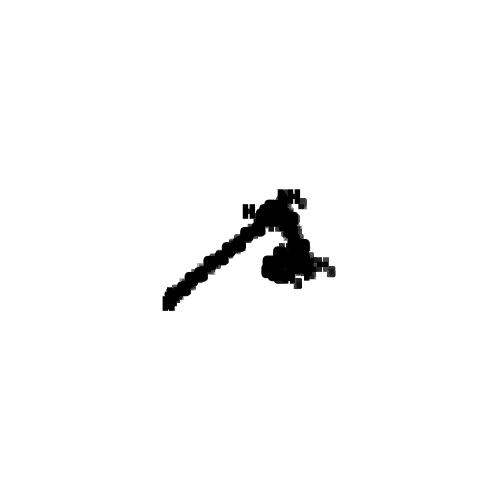 CC[C@@]1(O)C(=O)OCc2c1cc1n(c2=O)Cc2c-1nc1cc(F)c(C)c3c1c2[C@@H](NC(=O)OCc1ccc(NC(=O)[C@H](CCCCN)NC(=O)[C@@H](NC(=O)CCOCCOCCOCCOCCOCCOCCOCCOCCOCCN=[N+]=[N-])C(C)C)cc1)CC3